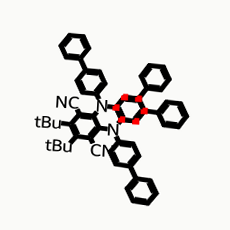 CC(C)(C)c1c(C#N)c(N(c2ccc(-c3ccccc3)cc2)c2ccc(-c3ccccc3)cc2)c(N(c2ccc(-c3ccccc3)cc2)c2ccc(-c3ccccc3)cc2)c(C#N)c1C(C)(C)C